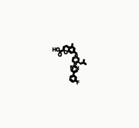 Cc1cc(CN2CCN(c3ncc(-c4cccc(F)c4)cn3)[C@H](CC(C)C)C2)cc2c1CC=C(C(=O)O)O2